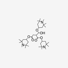 CN1C(C)(C)CC(OC(=O)CC(C(=O)OC2CC(C)(C)N(C)C(C)(C)C2)C(O)OC2CC(C)(C)N(C)C(C)(C)C2)CC1(C)C